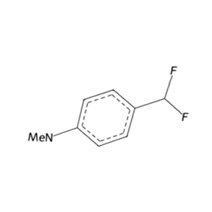 CNc1ccc(C(F)F)cc1